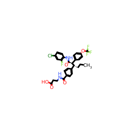 CCC[C@H](c1ccc(C(=O)NCCC(=O)O)cc1)[C@@H](C(=O)Nc1ccc(Cl)cc1F)c1ccc(OC(F)(F)F)cc1